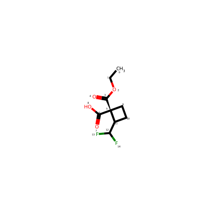 CCOC(=O)[C@@]1(C(=O)O)CCC1C(F)F